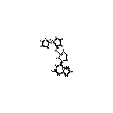 Cc1cc(C2CCCN(Cc3cccn3-c3nccs3)C2)n2ncnc2n1